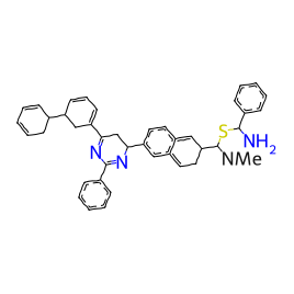 CNC(SC(N)c1ccccc1)C1C=c2ccc(C3CC(C4=CC=CC(C5C=CC=CC5)C4)=NC(c4ccccc4)=N3)cc2=CC1